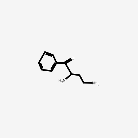 NCCC(N)C(=O)c1ccccc1